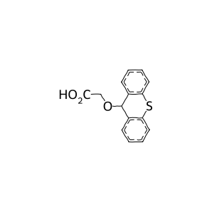 O=C(O)COC1c2ccccc2Sc2ccccc21